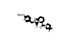 COc1ccc(Cn2nc3n(c2=O)[C@H](C(=O)N2CCC(F)(F)C2)CCC3)cn1